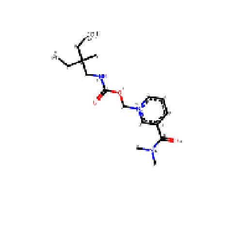 CC(C)CC(C)(CNC(=O)OC[n+]1cccc(C(=O)N(C)C)c1)CC(=O)O